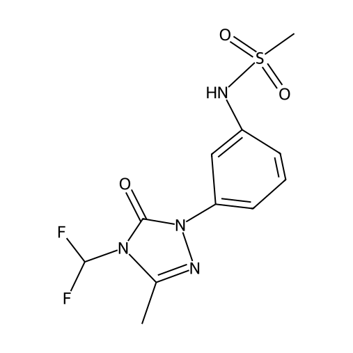 Cc1nn(-c2cccc(NS(C)(=O)=O)c2)c(=O)n1C(F)F